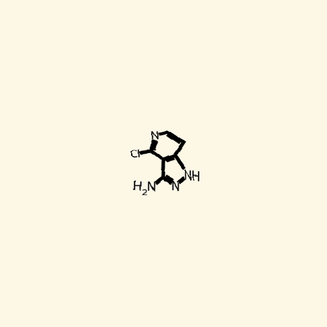 Nc1n[nH]c2ccnc(Cl)c12